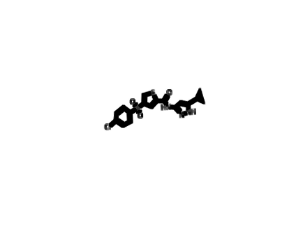 O=C(Nc1cc(C2CC2)[nH]n1)c1cc(S(=O)(=O)c2ccc(Cl)cc2)cs1